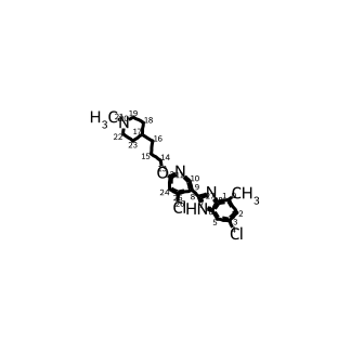 Cc1cc(Cl)cc2[nH]c(-c3cnc(OCCCC4CCN(C)CC4)cc3Cl)nc12